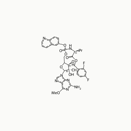 COc1nc(N)nc2c1ncn2C1OC(COP(=O)(N[C@H](C(=O)OCc2ccc(F)cc2F)C(C)C)Oc2ccc3ncccc3c2)[C@@H](O)[C@@]1(C)O